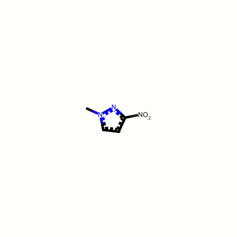 Cn1c[c]c([N+](=O)[O-])n1